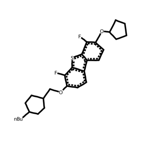 CCCCC1CCC(COc2ccc3c(sc4c(F)c(OC5CCCC5)ccc43)c2F)CC1